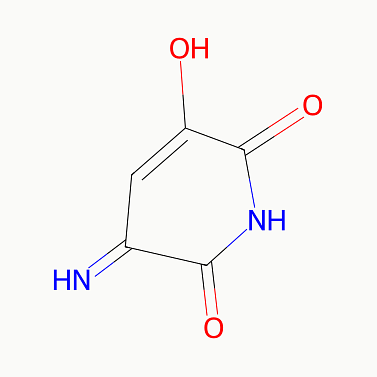 N=C1C=C(O)C(=O)NC1=O